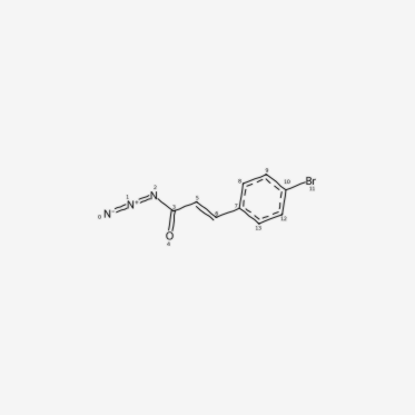 [N-]=[N+]=NC(=O)/C=C/c1ccc(Br)cc1